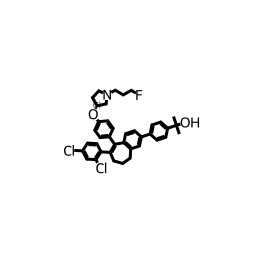 CC(C)(O)c1ccc(-c2ccc3c(c2)CCCC(c2ccc(Cl)cc2Cl)=C3c2ccc(O[C@H]3CCN(CCCF)C3)cc2)cc1